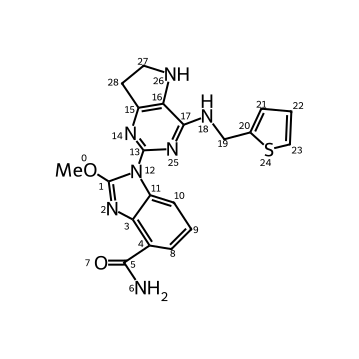 COc1nc2c(C(N)=O)cccc2n1-c1nc2c(c(NCc3cccs3)n1)NCC2